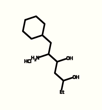 CCC(O)CC(O)C(N)CC1CCCCC1.Cl